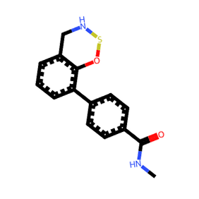 CNC(=O)c1ccc(-c2cccc3c2OSNC3)cc1